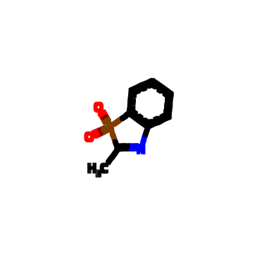 CC1=Nc2ccccc2S1(=O)=O